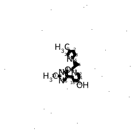 Cc1ccc([C@@H]2CC2COc2nc(C)ncc2-c2cc(O)ccn2)nc1